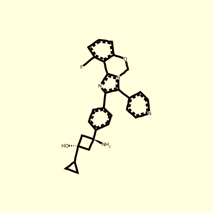 N[C@]1(c2ccc(-c3nc4n(c3-c3ccncc3)COc3cccc(F)c3-4)cc2)C[C@](O)(C2CC2)C1